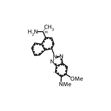 CNc1[c]c2nn(-c3ccc([C@@H](C)N)c4ccccc34)nc2cc1OC